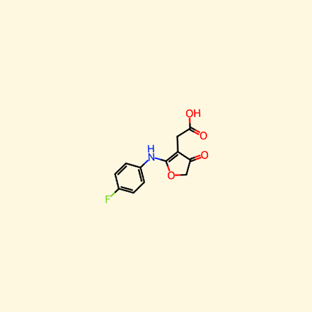 O=C(O)CC1=C(Nc2ccc(F)cc2)OCC1=O